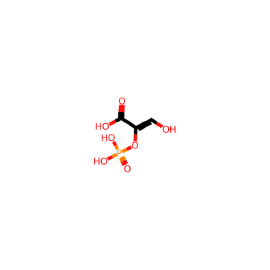 O=C(O)/C(=C/O)OP(=O)(O)O